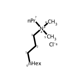 CCCCCCCCC[N+](C)(C)CCC.[Cl-]